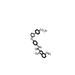 CCOc1cccc2c1cc(C(=O)Nc1ccc(O[C@H]3CCN(c4ccc(C(=O)O)cc4)C3)cc1)n2CC